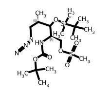 C[C@@H](CN=[N+]=[N-])C(O[Si](C)(C)C(C)(C)C)[C@@H](COS(C)(=O)=O)NC(=O)OC(C)(C)C